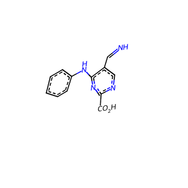 N=Cc1cnc(C(=O)O)nc1Nc1ccccc1